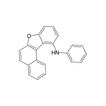 c1ccc(Nc2cccc3oc4ccc5ccccc5c4c23)cc1